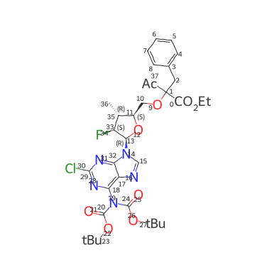 CCOC(=O)C(Cc1ccccc1)(OC[C@H]1O[C@@H](n2cnc3c(N(C(=O)OC(C)(C)C)C(=O)OC(C)(C)C)nc(Cl)nc32)[C@@H](F)[C@@H]1C)C(C)=O